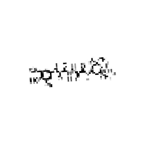 CC1(C)CC(NC(=O)C(=O)NNC(=O)C(=O)Nc2cc(C(C)(C)C)c(O)c(C(C)(C)C)c2)CC(C)(C)N1